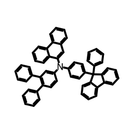 c1ccc(-c2ccc(N(c3ccc(C4(c5ccccc5)c5ccccc5-c5ccccc54)cc3)c3cc4ccccc4c4ccccc34)cc2-c2ccccc2)cc1